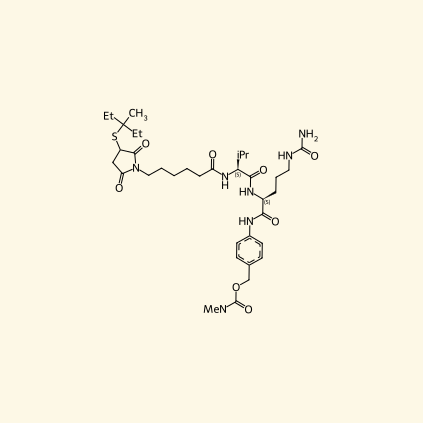 CCC(C)(CC)SC1CC(=O)N(CCCCCC(=O)N[C@H](C(=O)N[C@@H](CCCNC(N)=O)C(=O)Nc2ccc(COC(=O)NC)cc2)C(C)C)C1=O